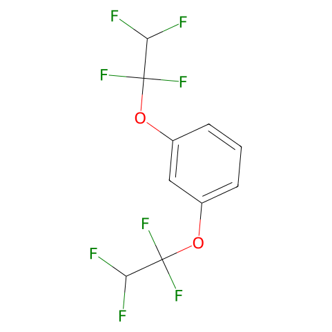 FC(F)C(F)(F)Oc1cccc(OC(F)(F)C(F)F)c1